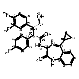 O=C1Nc2ccccc2C(C2CC2)=NC1NC(=O)[C@H](c1ccc(F)cc1)[C@@H](CO)c1ccc(F)c(F)c1